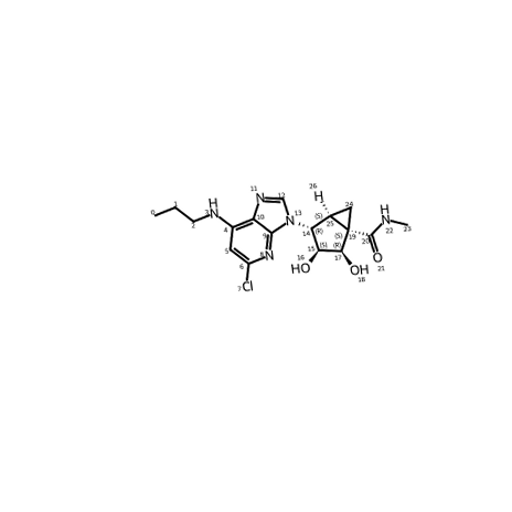 CCCNc1cc(Cl)nc2c1ncn2[C@H]1[C@H](O)[C@H](O)[C@]2(C(=O)NC)C[C@H]12